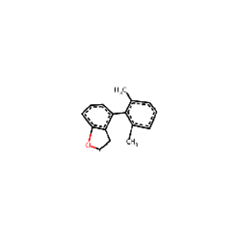 Cc1cccc(C)c1-c1cccc2c1C[CH]O2